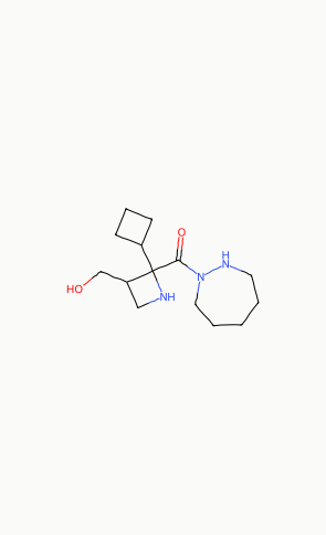 O=C(N1CCCCCN1)C1(C2CCC2)NCC1CO